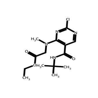 CCOC(=O)CN(C)c1nc(Cl)ncc1C(=O)NC(C)(C)C